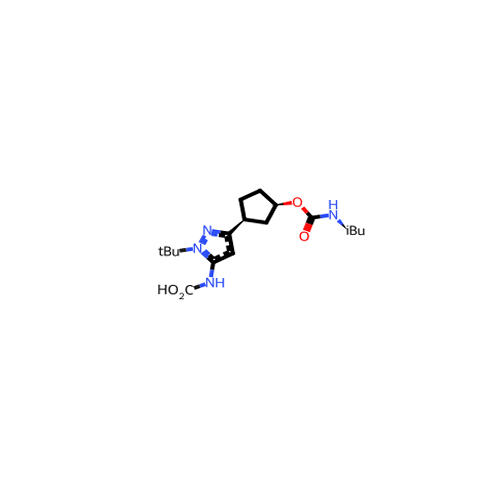 CC[C@H](C)NC(=O)O[C@@H]1CC[C@H](c2cc(NC(=O)O)n(C(C)(C)C)n2)C1